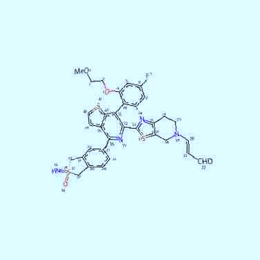 COCCOc1cc(F)ccc1-c1c(-c2nc3c(s2)CN(C=CC=O)CC3)nc(-c2ccc3c(c2)C[S@@](=N)(=O)C3)c2ccsc12